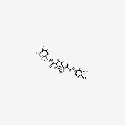 C=C(/C=C\C(=C)C(F)(F)F)CNC(=O)C12CC[PH](NC(=O)COc3ccc(Cl)c(F)c3)(C1)C(O)C2